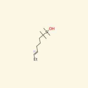 CC/C=C/CCCC(C)(C)[Si](C)(C)O